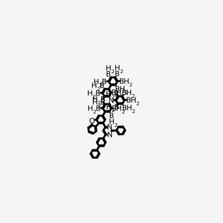 Bc1c(B)c(B)c(-c2c(B)c(B)c(B)c(N(c3c(B)c(B)c(B)c(B)c3B)c3c(B)c(B)c(-c4cc(-c5cc(-c6ccc(-c7ccccc7)cc6)nc(-c6ccccc6)n5)c5c(c4)oc4ccccc45)c(B)c3B)c2B)c(B)c1B